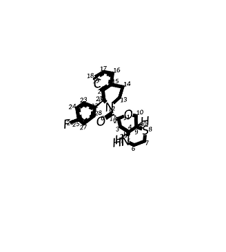 O=C([C@H]1C[C@@H]2NCCS[C@H]2CO1)N1CCc2ccccc2[C@@H]1c1ccc(F)cc1